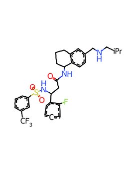 CC(C)CNCc1ccc2c(c1)CCCC2NC(=O)CC(NS(=O)(=O)c1cccc(C(F)(F)F)c1)c1ccccc1F